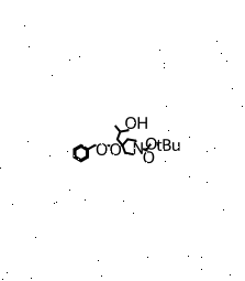 CC(CO)CC1(OCOCc2ccccc2)CCN(C(=O)OC(C)(C)C)CC1